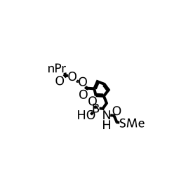 CCCC(=O)OCOC(=O)c1cccc2c1OB(O)[C@@H](NC(=O)CSC)C2